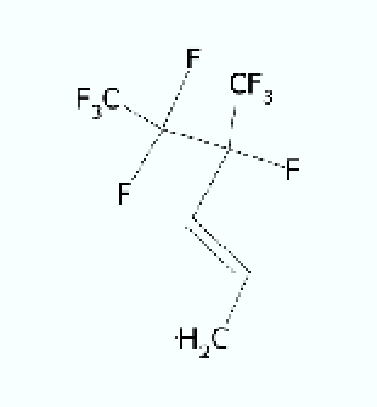 [CH2]/C=C/C(F)(C(F)(F)F)C(F)(F)C(F)(F)F